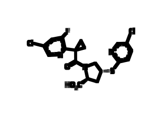 O=C(O)[C@@H]1C[C@@H](Sc2ccc(Cl)cn2)CN1C(=O)C1(c2ncc(Cl)cc2F)CC1